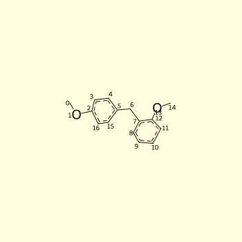 COc1ccc(Cc2ccccc2OC)cc1